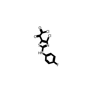 O=C(Cl)C(=O)c1sc(Nc2ccc(F)cc2)nc1Cl